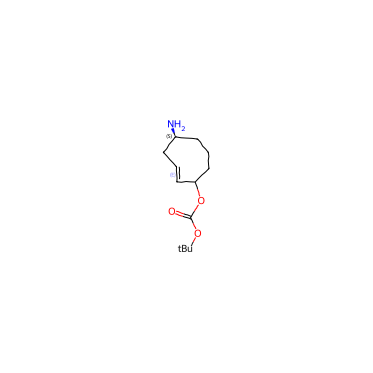 CC(C)(C)OC(=O)OC1/C=C/C[C@@H](N)CCC1